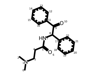 CN(C)CCC(=O)NC(C(=O)c1ccccc1)c1ccccc1